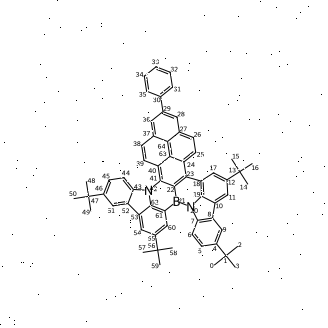 CC(C)(C)c1ccc2c(c1)c1cc(C(C)(C)C)cc3c1n2B1c2c-3c3ccc4cc(-c5ccccc5)cc5ccc(c2-n2c6ccc(C(C)(C)C)cc6c6cc(C(C)(C)C)cc1c62)c3c45